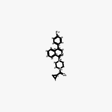 O=C(C1CC1)N1CCN(c2ncc(-c3ccc(F)cc3)c3ccccc23)CC1